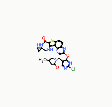 CC1CC(=O)N(Cc2cnc(Cl)nc2Oc2cnc3c(ccc4sc5c(c43)NCC3(CC3)NC5=O)n2)C1